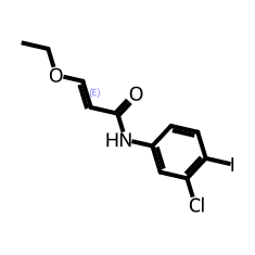 CCO/C=C/C(=O)Nc1ccc(I)c(Cl)c1